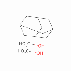 C1C2CC3CC1CC(C2)C3.O=C(O)O.O=C(O)O